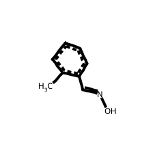 Cc1c[c]ccc1C=NO